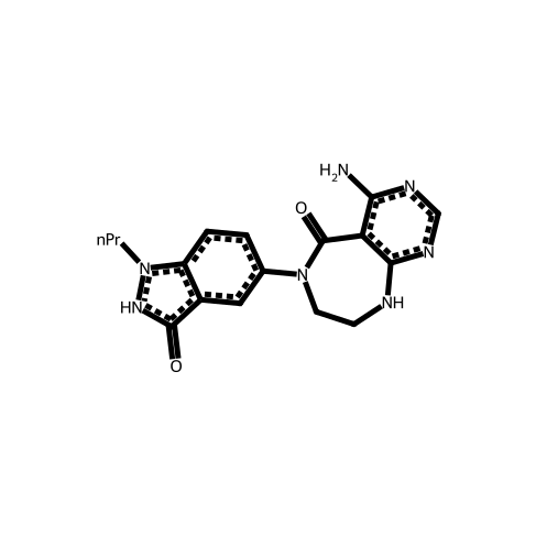 CCCn1[nH]c(=O)c2cc(N3CCNc4ncnc(N)c4C3=O)ccc21